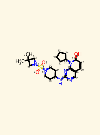 CC1(C)CN(S(=O)(=O)N2CCC(Nc3ncc4c(n3)N(C3CCCC3)C(O)C=C4)CC2)C1